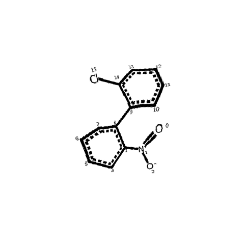 O=[N+]([O-])c1c[c]ccc1-c1ccccc1Cl